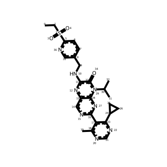 CCS(=O)(=O)c1ccc(CNc2nc3cnc(-c4c(C)ncnc4C4CC4)nc3n(C(C)C)c2=O)cn1